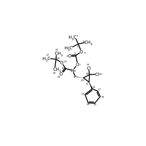 CC(C)(C)OC(=O)ON(C[C@H]1[C@H](c2ccccc2)C1(Cl)Cl)C(=O)OC(C)(C)C